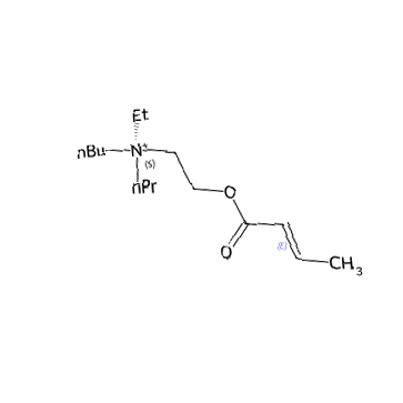 C/C=C/C(=O)OCC[N@@+](CC)(CCC)CCCC